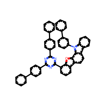 c1ccc(-c2ccc(-c3nc(-c4ccc(-c5ccccc5)cc4)nc(-c4cccc5c4oc4c5ccc5c6ccccc6n(-c6cccc(-c7ccccc7)c6)c54)n3)cc2)cc1